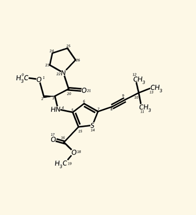 COC[C@H](Nc1cc(C#CC(C)(C)C)sc1C(=O)OC)C(=O)N1CCCC1